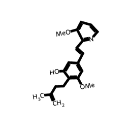 C=C(C)CCc1c(O)cc(/C=C/c2ncccc2OC)cc1OC